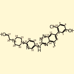 Cc1cc(-c2cc(O)ccc2Cl)cc2nnc(Nc3ccc(N4CCN(CCO)CC4)nc3)nc12